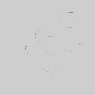 COC(=O)N=C(NC(=O)OC)Nc1c(Cc2ccccc2)c[nH]c1C(=O)OC